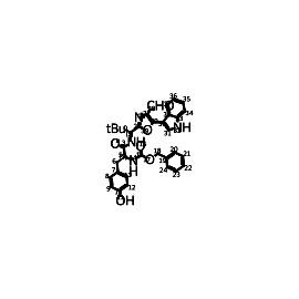 CC(C)(C)[C@H](NC(=O)[C@H](Cc1ccc(O)cc1)NC(=O)OCc1ccccc1)c1nc(C=O)c(-c2c[nH]c3ccccc23)o1